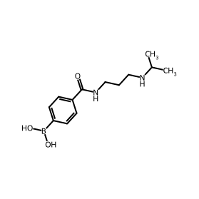 CC(C)NCCCNC(=O)c1ccc(B(O)O)cc1